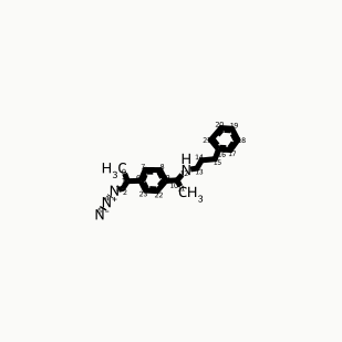 CC(CN=[N+]=[N-])c1ccc(C(C)NCCCc2ccccc2)cc1